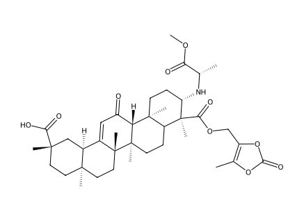 COC(=O)[C@H](C)N[C@H]1CC[C@@]2(C)C(CC[C@]3(C)[C@@H]2C(=O)C=C2[C@@H]4C[C@@](C)(C(=O)O)CC[C@]4(C)CC[C@]23C)[C@]1(C)C(=O)OCc1oc(=O)oc1C